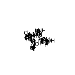 Cc1cc(C(=O)N2CCN(c3c(C(C)Nc4ncnc5[nH]cnc45)cc(Cl)c4cccnc34)CC2)no1.O=C(O)C(F)(F)F.O=C(O)C(F)(F)F